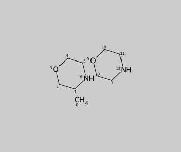 C.C1COCCN1.C1COCCN1